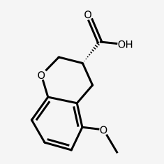 COc1cccc2c1C[C@@H](C(=O)O)CO2